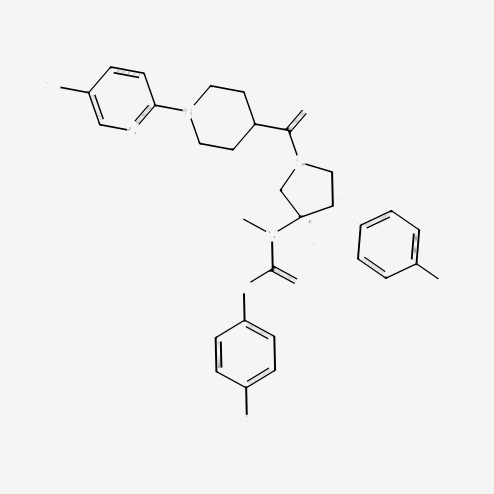 CC(=O)c1ccc(N2CCC(C(=O)N3C[C@H](c4ccc(Cl)cc4)[C@@](C)(N(C)C(=O)Oc4ccc(F)cc4)C3)CC2)nc1